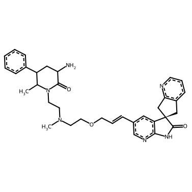 CC1C(c2ccccc2)CC(N)C(=O)N1CCN(C)CCOC/C=C/c1cnc2c(c1)[C@@]1(Cc3cccnc3C1)C(=O)N2